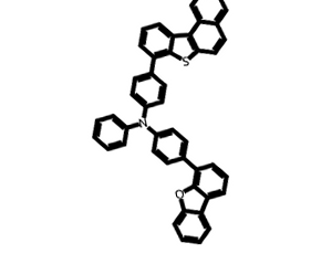 c1ccc(N(c2ccc(-c3cccc4c3oc3ccccc34)cc2)c2ccc(-c3cccc4c3sc3ccc5ccccc5c34)cc2)cc1